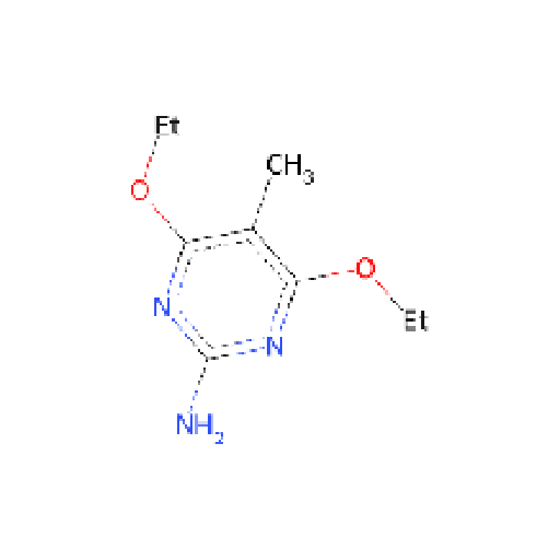 CCOc1nc(N)nc(OCC)c1C